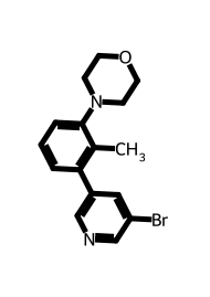 Cc1c(-c2cncc(Br)c2)cccc1N1CCOCC1